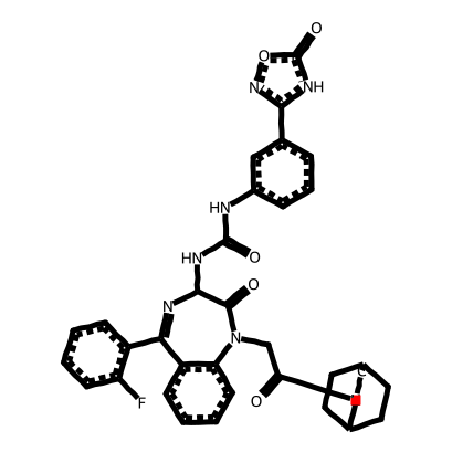 O=C(Nc1cccc(-c2noc(=O)[nH]2)c1)NC1N=C(c2ccccc2F)c2ccccc2N(CC(=O)N2CC3CCC(CC3)C2)C1=O